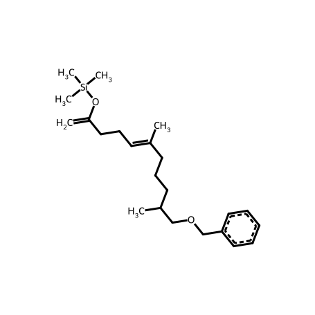 C=C(CCC=C(C)CCCC(C)COCc1ccccc1)O[Si](C)(C)C